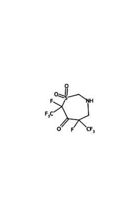 O=C1C(F)(C(F)(F)F)CNCS(=O)(=O)C1(F)C(F)(F)F